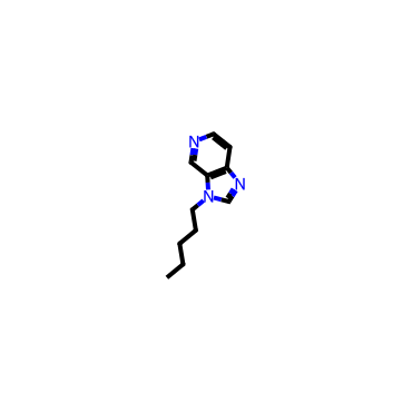 CCCCCn1cnc2ccncc21